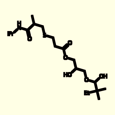 CCC(C)(C)C(O)OCC(O)COC(=O)CCSCC(C)C(=O)NC(C)C